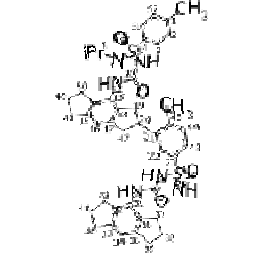 Cc1ccc(S(=O)(=NC(C)C)NC(=O)Nc2c3c(cc4c2CC(c2cc(S(=N)(=O)NC(=O)Nc5c6c(cc7c5CCC7)CCC6)ccc2C)C4)CCC3)cc1